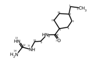 CCC1CCC(C(=O)NCCNC(=N)N)CC1